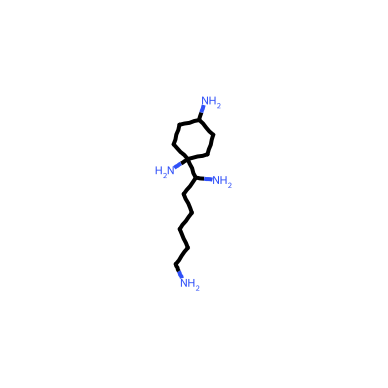 NCCCCCC(N)C1(N)CCC(N)CC1